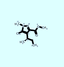 CC[C@@H](C)c1c(C(=O)OC)nn(C)c1Cl